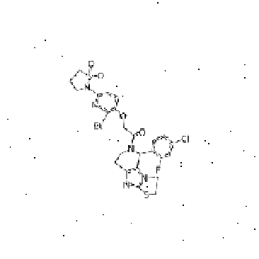 CCc1nc(N2CCCS2(=O)=O)ccc1OCC(=O)N1CCc2nc3n(c2C1c1ccc(Cl)cc1F)CCS3